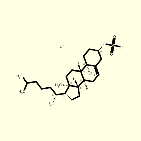 CC(C)CCC[C@@H](C)[C@H]1CC[C@H]2[C@@H]3CC=C4C[C@@H](OS(=O)(=O)[O-])CC[C@]4(C)[C@H]3CC[C@]12C.[Li+]